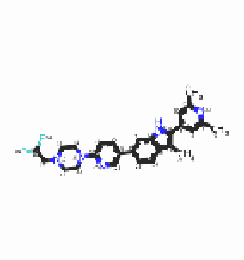 Cc1cc(-c2[nH]c3cc(-c4ccc(N5CCN(CC(F)F)CC5)nc4)ccc3c2C)cc(C)n1